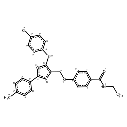 CCNC(=O)c1ccc(OCc2nc(-c3ccc(C)cc3)oc2Sc2ccc(Cl)cn2)nc1